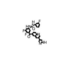 O=C(Nc1cccc(F)c1)Nc1cc(F)c(F)c(C(=O)c2ccc3ncc(-c4cn[nH]c4)cc3c2)c1